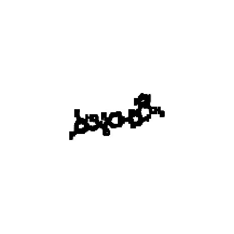 Cn1ncnc1-c1nc(N2CCC(F)(C(=O)N(O)Cc3cc(F)cc(F)c3)CC2)ncc1F